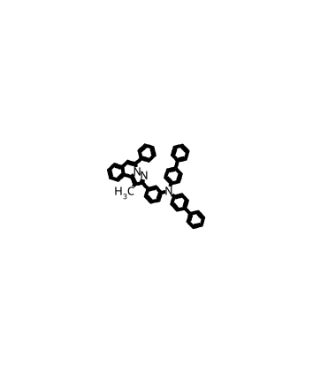 Cc1c(-c2cccc(N(c3ccc(-c4ccccc4)cc3)c3ccc(-c4ccccc4)cc3)c2)nn2c(-c3ccccc3)cc3ccccc3c12